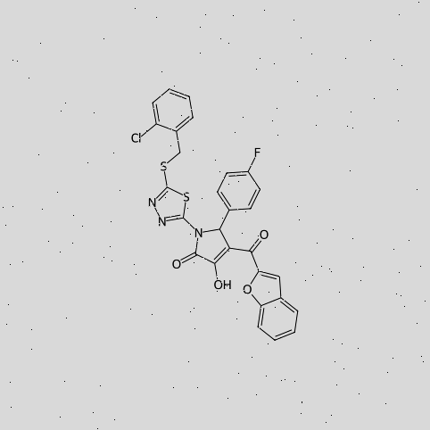 O=C(C1=C(O)C(=O)N(c2nnc(SCc3ccccc3Cl)s2)C1c1ccc(F)cc1)c1cc2ccccc2o1